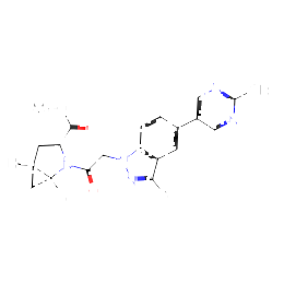 COC(=O)[C@@H]1C[C@H]2C[C@H]2N1C(=O)Cn1nc(C(C)=O)c2cc(-c3cnc(C)nc3)ccc21